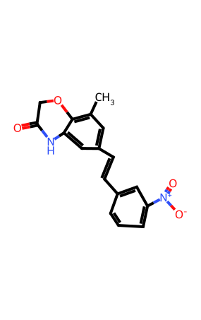 Cc1cc(C=Cc2cccc([N+](=O)[O-])c2)cc2c1OCC(=O)N2